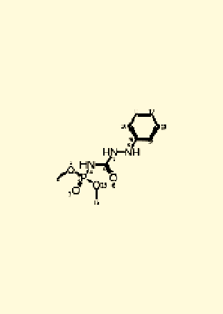 COP(=O)(NC(=O)NNc1ccccc1)OC